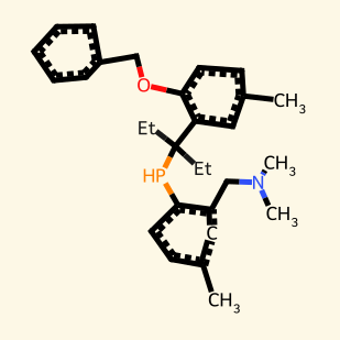 CCC(CC)(Pc1ccc(C)cc1CN(C)C)c1cc(C)ccc1OCc1ccccc1